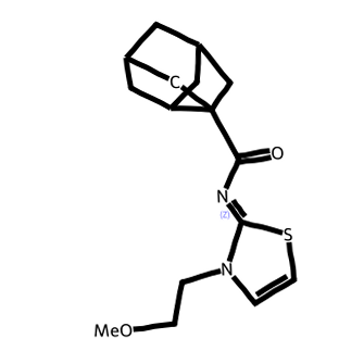 COCCn1ccs/c1=N\C(=O)C12CC3CC(CC1C3)C2